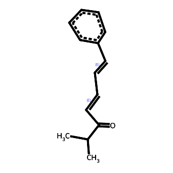 CC(C)C(=O)/C=C/C=C/c1ccccc1